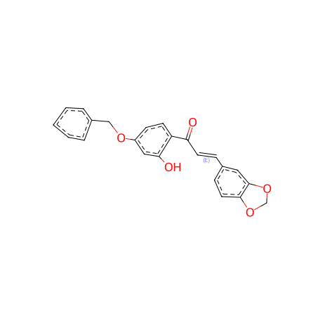 O=C(/C=C/c1ccc2c(c1)OCO2)c1ccc(OCc2ccccc2)cc1O